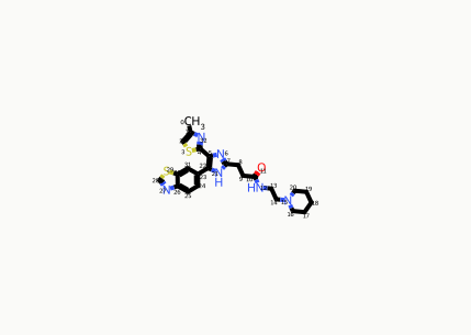 Cc1csc(-c2nc(CCC(=O)NCCN3CCCCC3)[nH]c2-c2ccc3ncsc3c2)n1